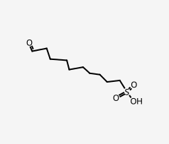 O=CCCCCCCCCCS(=O)(=O)O